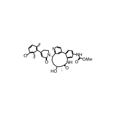 COC(=O)Nc1ccc2c(c1)NC(=O)[C@H](C)C(O)CC[C@H](N1CCC(c3c(F)ccc(Cl)c3F)=CC1=O)c1cc-2ccn1